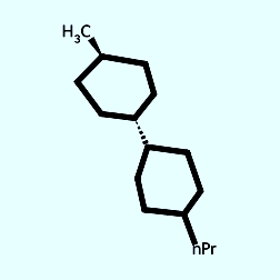 CCCC1CCC([C@H]2CC[C@H](C)CC2)CC1